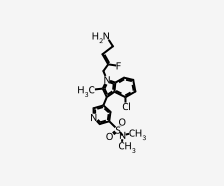 Cc1c(-c2cncc(S(=O)(=O)N(C)C)c2)c2c(Cl)cccc2n1CC(F)=CCN